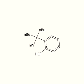 CCCCC(CCC)(CCCC)c1ccccc1O